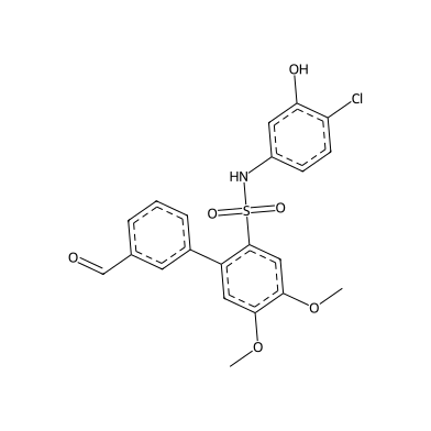 COc1cc(-c2cccc(C=O)c2)c(S(=O)(=O)Nc2ccc(Cl)c(O)c2)cc1OC